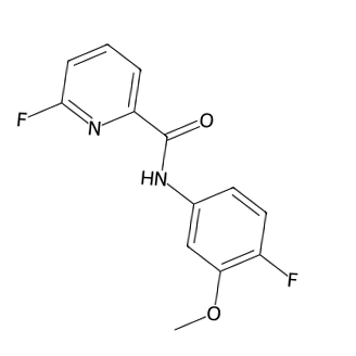 COc1cc(NC(=O)c2cccc(F)n2)ccc1F